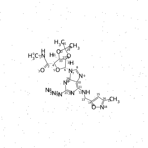 CNC(=O)[C@H]1O[C@@H](n2cnc3c(NCc4cc(C)no4)nc(N=[N+]=[N-])nc32)[C@@H]2OC(C)(C)O[C@@H]21